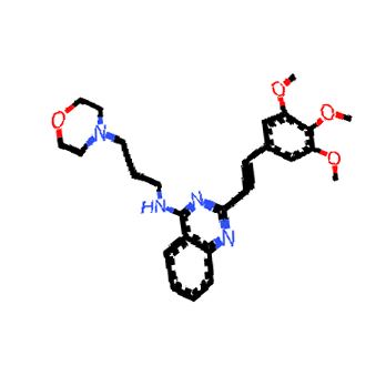 COc1cc(/C=C/c2nc(NCCCN3CCOCC3)c3ccccc3n2)cc(OC)c1OC